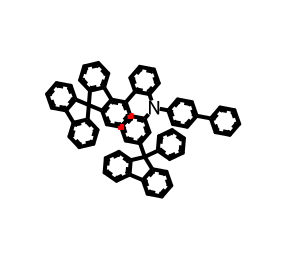 c1ccc(-c2ccc(N(c3cccc(C4(c5ccccc5)c5ccccc5-c5ccccc54)c3)c3ccccc3-c3cccc4c3-c3ccccc3C43c4ccccc4-c4ccccc43)cc2)cc1